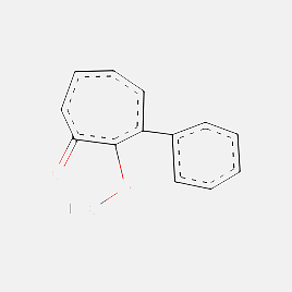 COc1c(-c2ccccc2)ccccc1=O